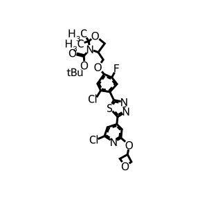 CC(C)(C)OC(=O)N1C(COc2cc(Cl)c(-c3nnc(-c4cc(Cl)nc(OC5COC5)c4)s3)cc2F)COC1(C)C